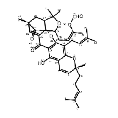 CC(C)=CCC[C@]1(C)C=Cc2c(O)c3c(c(CC=C(C)C)c2O1)O[C@]12C(=C[C@@H]4CC1C(C)(C)OC2(C/C=C(/C)OC=O)C4=O)C3=O